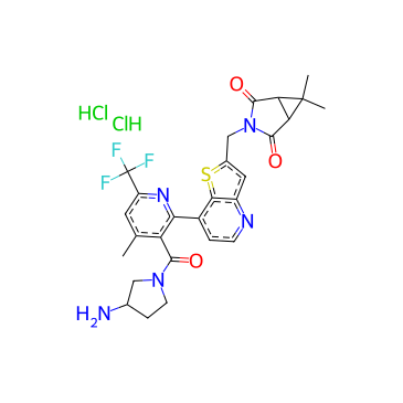 Cc1cc(C(F)(F)F)nc(-c2ccnc3cc(CN4C(=O)C5C(C4=O)C5(C)C)sc23)c1C(=O)N1CCC(N)C1.Cl.Cl